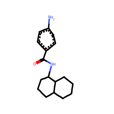 Nc1ccc(C(=O)NC2CCCC3CCCCC32)cc1